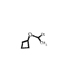 [CH2]CC(C)OC1CCC1